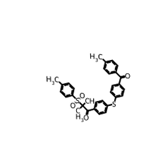 Cc1ccc(C(=O)c2ccc(Sc3ccc(C(=O)C(C)(C)S(=O)(=O)c4ccc(C)cc4)cc3)cc2)cc1